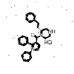 Cl.O=C(c1ccn(-c2ccccc2)c1-c1ccccc1)N1CCNC[C@H]1CCc1ccccc1